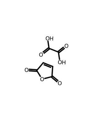 O=C(O)C(=O)O.O=C1C=CC(=O)O1